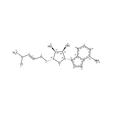 CC(Cl)/C=C/OC[C@H]1O[C@@H](n2cnc3c(N)ncnc32)[C@H](O)[C@@H]1O